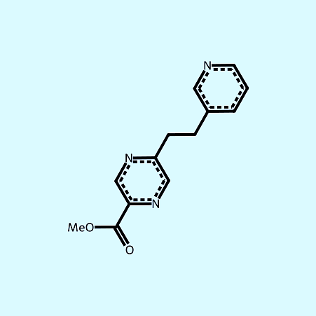 COC(=O)c1cnc(CCc2cccnc2)cn1